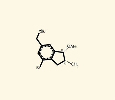 CO[C@H]1c2cc(CC(C)(C)C)cc(Br)c2C[C@H]1C